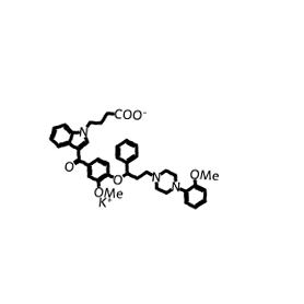 COc1cc(C(=O)c2cn(CCCC(=O)[O-])c3ccccc23)ccc1OC(CCN1CCN(c2ccccc2OC)CC1)c1ccccc1.[K+]